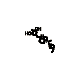 C=C1[C@H](O)CC(=C/C=C2\CCC[C@]3(C)[C@@H](C(C)CN4CC[C@@H](CC)C4)CC[C@@H]23)C[C@H]1O